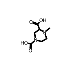 CN1CCN(C(=O)O)CC1C(=O)O